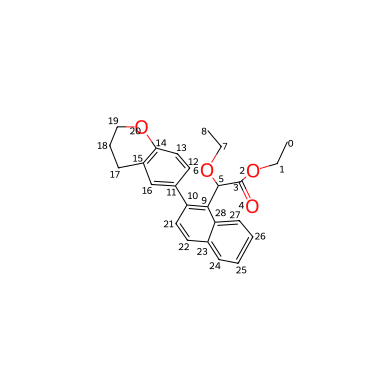 CCOC(=O)C(OCC)c1c(-c2ccc3c(c2)CCCO3)ccc2ccccc12